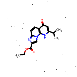 CCOC(=O)c1cn2c(ccc3c(=O)cc(C(C)C)[nH]c32)n1